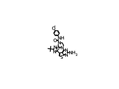 COc1ccc(NC(=O)N2CCN(c3nc(N)nc4scc(-c5nc(C(C)(C)C)no5)c34)CC2)cc1